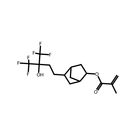 C=C(C)C(=O)OC1CC2CC1CC2CCC(O)(C(F)(F)F)C(F)(F)F